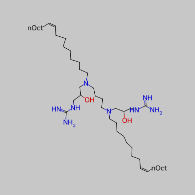 CCCCCCCC/C=C\CCCCCCCCN(CCCCN(CCCCCCCC/C=C\CCCCCCCC)CC(O)CNC(=N)N)CC(O)CNC(=N)N